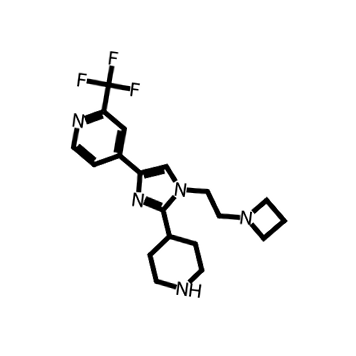 FC(F)(F)c1cc(-c2cn(CCN3CCC3)c(C3CCNCC3)n2)ccn1